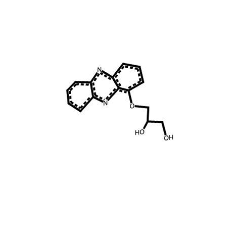 OCC(O)COc1cccc2nc3ccccc3nc12